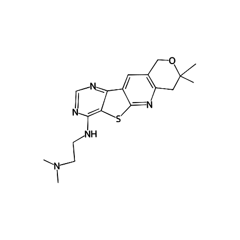 CN(C)CCNc1ncnc2c1sc1nc3c(cc12)COC(C)(C)C3